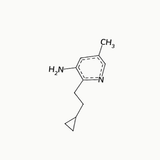 Cc1cnc(CCC2CC2)c(N)c1